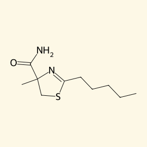 CCCCCC1=NC(C)(C(N)=O)CS1